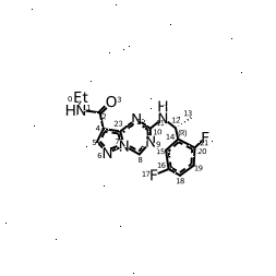 CCNC(=O)c1cnn2cnc(N[C@H](C)c3cc(F)ccc3F)nc12